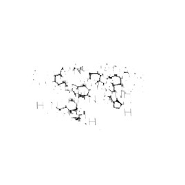 CC(=O)N[C@H]1C(OC(C)=O)[C@H](O[C@@H]2OC(C(=O)NC3=C(O)CCC3=O)[C@H](OC(C)=O)C(OC(C)=O)[C@@H]2OC(C)=O)C(C)O[C@H]1O[C@@H]1C(CO[C@@H]2OC(COC(C)=O)[C@@H](OC(C)=O)C(OC(C)=O)[C@@H]2OC(C)=O)O[C@@H](OC2[C@@H](OC(N)=O)[C@](C)(O)C(C(N)=O)O[C@@H]2O)[C@@H](NC(C)=O)C1OC(C)=O